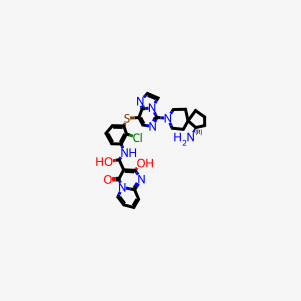 N[C@@H]1CCCC12CCN(c1ncc(Sc3cccc(NC(O)c4c(O)nc5ccccn5c4=O)c3Cl)c3nccn13)CC2